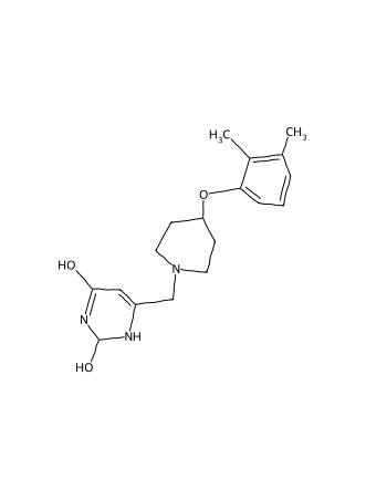 Cc1cccc(OC2CCN(CC3=CC(O)=NC(O)N3)CC2)c1C